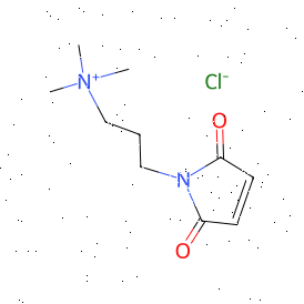 C[N+](C)(C)CCCN1C(=O)C=CC1=O.[Cl-]